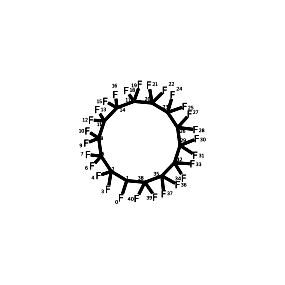 FC1C(F)(F)C(F)(F)C(F)(F)C(F)(F)C(F)(F)C(F)(F)C(F)(F)C(F)(F)C(F)(F)C(F)(F)C(F)(F)C(F)(F)C1(F)F